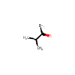 BC(=O)C(C)C